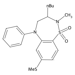 CCCCC1CN(c2ccccc2)c2cc(SC)[c]cc2S(=O)(=O)N1C